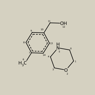 C1COCCN1.Cc1ccc(CO)cc1